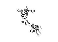 Bc1c(B)c(B)c(C(=O)NCCCCCCN(CCC(=O)Nc2ccc(OC(OC)C(O)C(O)C(O)C(C)C(=O)O)cc2)C(=O)CCCC)c(B)c1B